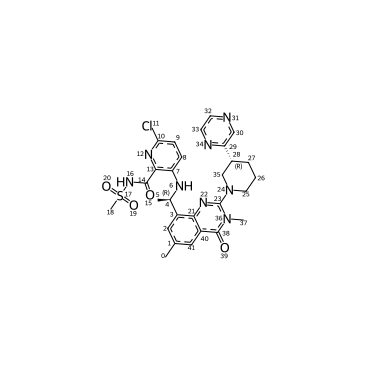 Cc1cc([C@@H](C)Nc2ccc(Cl)nc2C(=O)NS(C)(=O)=O)c2nc(N3CCC[C@@H](c4cnccn4)C3)n(C)c(=O)c2c1